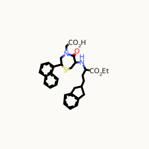 CCOC(=O)C(CCC1Cc2ccccc2C1)NC1CSC(c2cccc3ccccc23)CN(CC(=O)O)C1=O